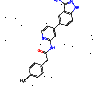 Cc1ccc(CC(=O)Nc2cc(-c3ccc4[nH]nc(N)c4c3)ccn2)cc1